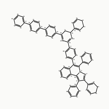 C1=CC(c2nn3c(-c4ccccc4)c(-c4ccc(C5=NC(C6=CCCC=C6)CC(c6ccc(-c7ccc(-c8ccccc8)cc7)cc6)=N5)cc4)c4ccccc4c3c2-c2ccccc2)=CCC1